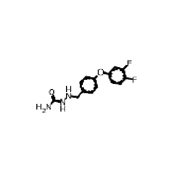 NC(=O)NNCc1ccc(Oc2ccc(F)c(F)c2)cc1